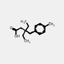 CCC(CC)(CC(=O)O)Cc1ccc(C)cc1